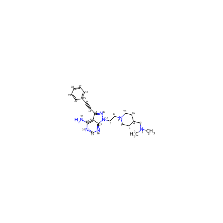 CN(C)CC1CCN(CCn2nc(C#Cc3ccccc3)c3c(N)ncnc32)CC1